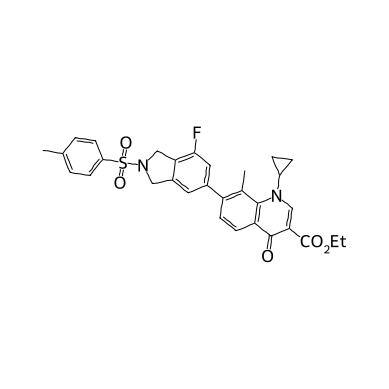 CCOC(=O)c1cn(C2CC2)c2c(C)c(-c3cc(F)c4c(c3)CN(S(=O)(=O)c3ccc(C)cc3)C4)ccc2c1=O